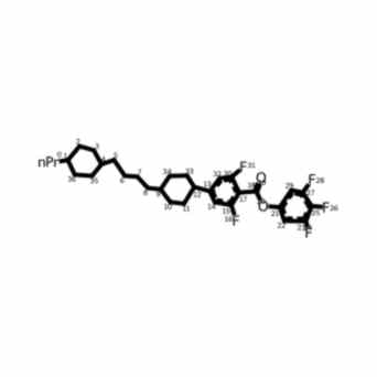 CCCC1CCC(CCCCC2CCC(c3cc(F)c(C(=O)Oc4cc(F)c(F)c(F)c4)c(F)c3)CC2)CC1